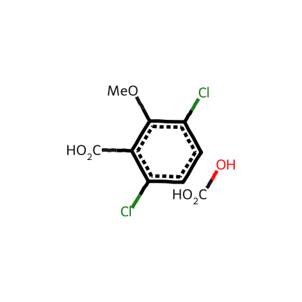 COc1c(Cl)ccc(Cl)c1C(=O)O.O=C(O)O